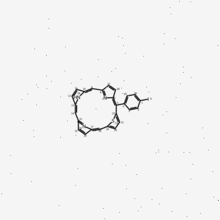 Ic1ccc(-c2c3nc(cc4ccc(cc5nc(cc6ccc2s6)C=C5)[nH]4)C=C3)cc1